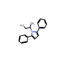 CCC(C)n1c(-c2ccccc2)ccc1-c1ccccc1